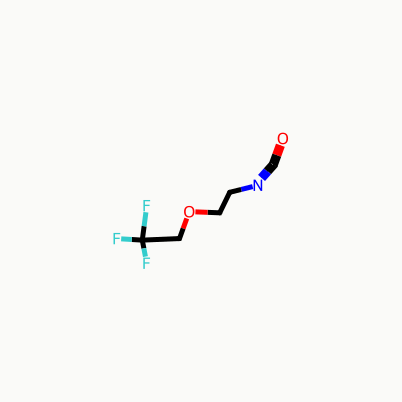 O=C=NCCOCC(F)(F)F